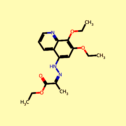 CCOC(=O)/C(C)=N\Nc1cc(OCC)c(OCC)c2ncccc12